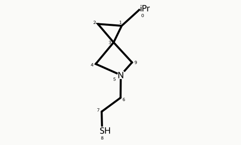 CC(C)C1CC12CN(CCS)C2